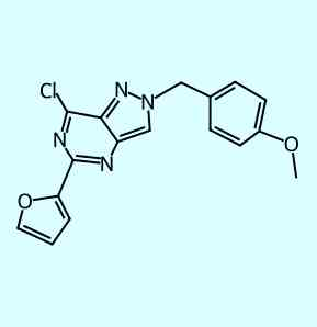 COc1ccc(Cn2cc3nc(-c4ccco4)nc(Cl)c3n2)cc1